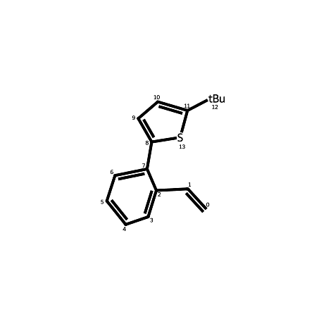 C=Cc1ccccc1-c1ccc(C(C)(C)C)s1